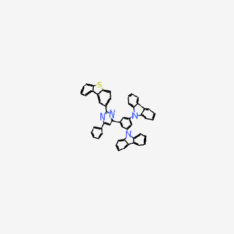 c1ccc(-c2cc(-c3cc(-n4c5ccccc5c5ccccc54)cc(-n4c5ccccc5c5ccccc54)c3)nc(-c3ccc4sc5ccccc5c4c3)n2)cc1